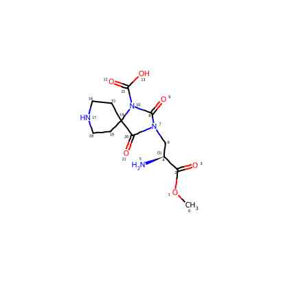 COC(=O)[C@@H](N)CN1C(=O)N(C(=O)O)C2(CCNCC2)C1=O